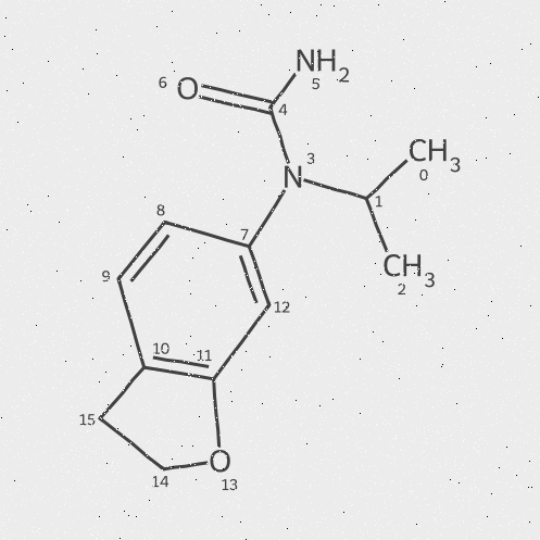 CC(C)N(C(N)=O)c1ccc2c(c1)OCC2